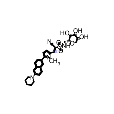 Cn1c(/C=C(\C#N)S(=O)(=O)NC[C@H]2OC[C@H](O)[C@@H](O)[C@@H]2O)ccc1-c1ccc2cc(N3CCCCC3)ccc2c1